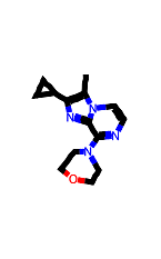 Cc1c(C2CC2)nc2c(N3CCOCC3)nccn12